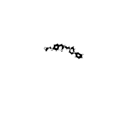 O=C(Cc1ccc(OC[C@H]2CO2)cc1)NCCN1CCN(c2ccccc2)CC1